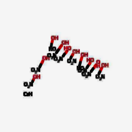 O=[N+]([O-])O.O=[N+]([O-])O.O=[N+]([O-])O.O=[N+]([O-])O.O=[N+]([O-])O.O=[N+]([O-])O.O=[N+]([O-])O.O=[N+]([O-])O.O=[N+]([O-])O.O=[N+]([O-])O.[CsH]